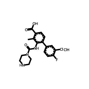 Cc1c(C(=O)O)ccc(-c2ccc(F)c(Cl)c2)c1NC(=O)N1CCNCC1.Cl